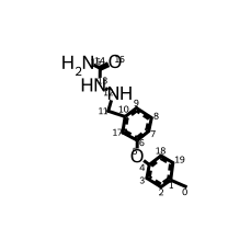 Cc1ccc(Oc2cccc(CNNC(N)=O)c2)cc1